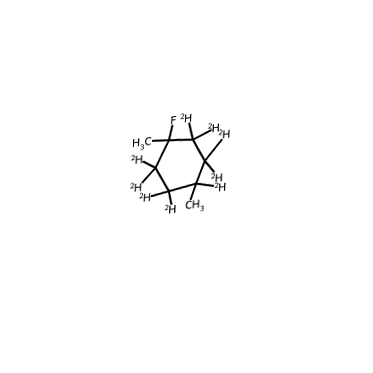 [2H]C1([2H])C([2H])([2H])C(C)(F)C([2H])([2H])C([2H])([2H])C1([2H])C